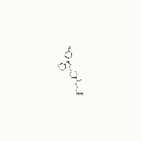 CNCCNC(=O)N1CCC(c2cn(-c3ccc(Cl)cc3)c3cnccc23)CC1